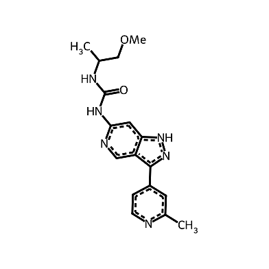 COCC(C)NC(=O)Nc1cc2[nH]nc(-c3ccnc(C)c3)c2cn1